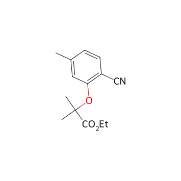 CCOC(=O)C(C)(C)Oc1cc(C)ccc1C#N